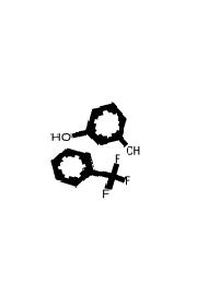 FC(F)(F)c1ccccc1.Oc1cccc(O)c1